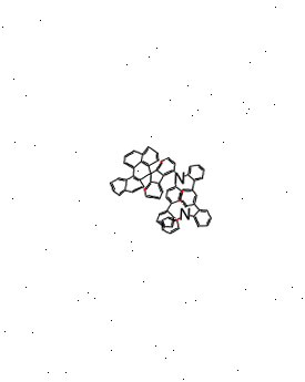 c1ccc(-c2ccc(N(c3ccccc3-c3ccc4c(c3)c3ccccc3n4-c3ccccc3)c3cccc4c3-c3ccccc3C43c4ccc5ccccc5c4-c4cccc5cccc3c45)cc2)cc1